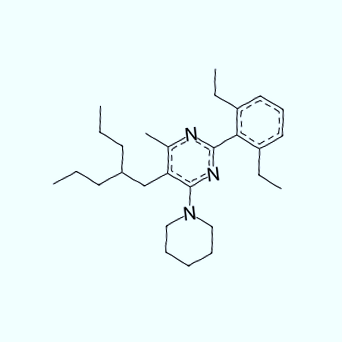 CCCC(CCC)Cc1c(C)nc(-c2c(CC)cccc2CC)nc1N1CCCCC1